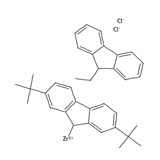 CC(C)(C)c1ccc2c(c1)[CH]([Zr+2])c1cc(C(C)(C)C)ccc1-2.CCC1c2ccccc2-c2ccccc21.[Cl-].[Cl-]